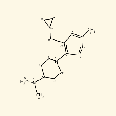 Cc1ccc(N2CCC(N(C)C)CC2)c(CC2CC2)c1